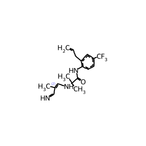 C=CCc1cc(C(F)(F)F)ccc1NC(=O)C(C)(C)N/C=C(/C)C=N